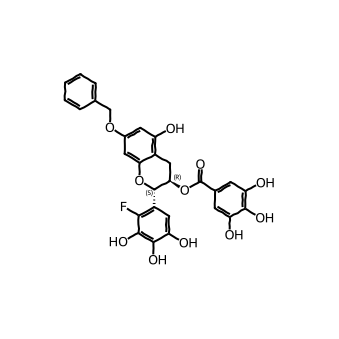 O=C(O[C@@H]1Cc2c(O)cc(OCc3ccccc3)cc2O[C@H]1c1cc(O)c(O)c(O)c1F)c1cc(O)c(O)c(O)c1